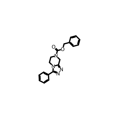 O=C(OCc1ccccc1)N1CCn2c(nnc2-c2ccccc2)C1